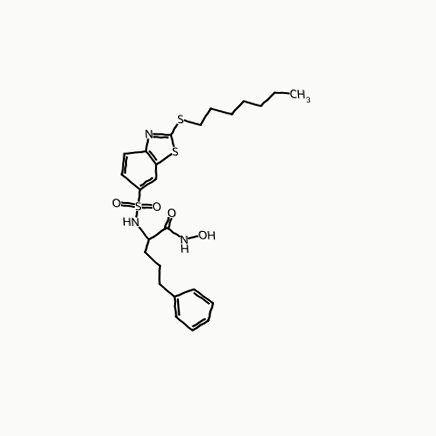 CCCCCCCSc1nc2ccc(S(=O)(=O)NC(CCCc3ccccc3)C(=O)NO)cc2s1